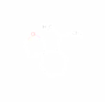 CC(C)C1CCCCC12CCOC2